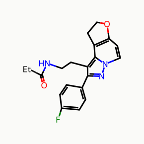 CCC(=O)NCCc1c(-c2ccc(F)cc2)nn2ccc3c(c12)CCO3